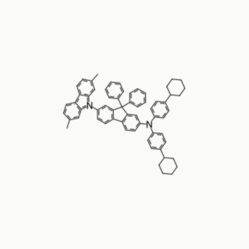 Cc1ccc2c3ccc(C)cc3n(-c3ccc4c(c3)C(c3ccccc3)(c3ccccc3)c3cc(N(c5ccc(C6CCCCC6)cc5)c5ccc(C6CCCCC6)cc5)ccc3-4)c2c1